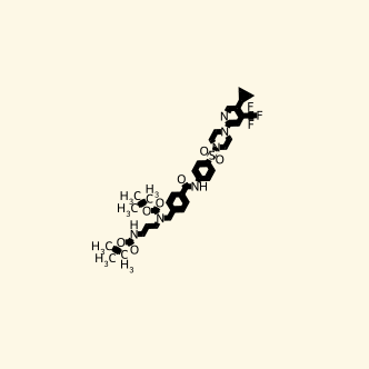 CC(C)(C)OC(=O)NCCCN(Cc1ccc(C(=O)Nc2ccc(S(=O)(=O)N3CCN(c4cc(C(F)(F)F)c(C5CC5)cn4)CC3)cc2)cc1)C(=O)OC(C)(C)C